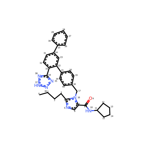 CCCCc1ncc(C(=O)NC2CCCC2)n1Cc1ccc(-c2cc(-c3ccccc3)ccc2-c2nn[nH]n2)cc1